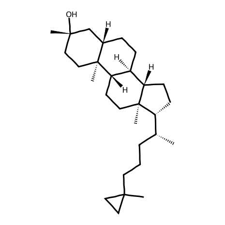 C[C@H](CCCC1(C)CC1)[C@H]1CC[C@H]2[C@@H]3CC[C@H]4C[C@@](C)(O)CC[C@]4(C)[C@H]3CC[C@]12C